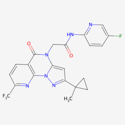 CC1(c2cc3n(CC(=O)Nc4ccc(F)cn4)c(=O)c4ccc(C(F)(F)F)nc4n3n2)CC1